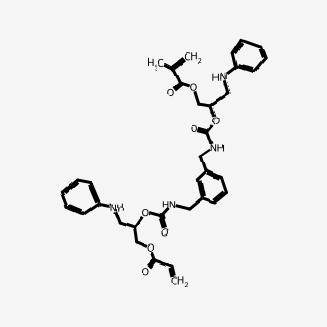 C=CC(=O)OCC(CNc1ccccc1)OC(=O)NCc1cccc(CNC(=O)OC(CNc2ccccc2)COC(=O)C(=C)C)c1